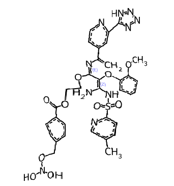 C=C(/N=C(OCCOC(=O)c1ccc(CON(O)O)cc1)\C(Oc1ccccc1OC)=C(/N)NS(=O)(=O)c1ccc(C)cn1)c1ccnc(-c2nnn[nH]2)c1